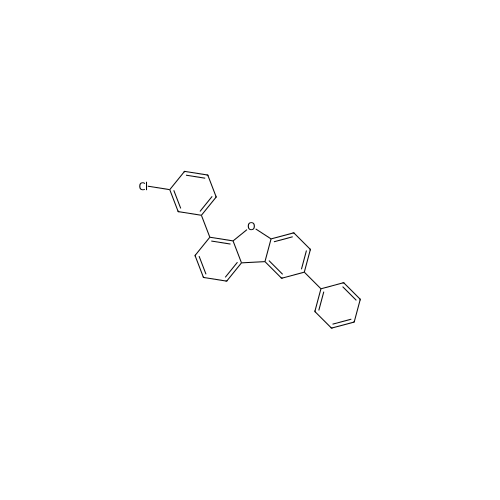 Clc1cccc(-c2cccc3c2oc2ccc(-c4ccccc4)cc23)c1